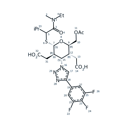 CCN(C)C(=O)C(S[C@@H]1O[C@@H](COC(C)=O)[C@H](CC(=O)O)[C@H](n2cc(-c3cc(F)c(F)c(F)c3)nn2)[C@H]1CC(=O)O)C(C)C